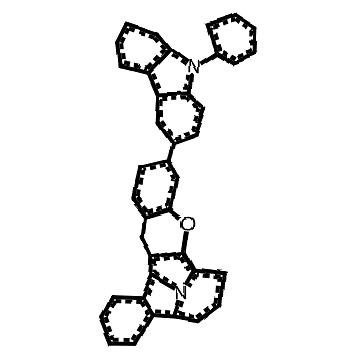 c1ccc(-n2c3ccccc3c3cc(-c4ccc5c(c4)Oc4c(c6c7ccccc7c7cccc4n76)C5)ccc32)cc1